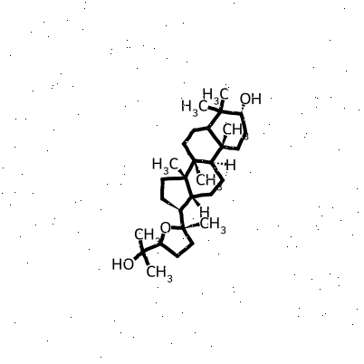 CC(C)(O)C1CC[C@@](C)([C@H]2CC[C@@]3(C)[C@@H]2CC[C@@H]2[C@@]4(C)CC[C@@H](O)C(C)(C)C4CC[C@]23C)O1